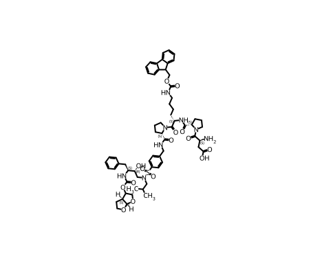 CC(C)CN(C[C@@H](O)[C@H](Cc1ccccc1)NC(=O)OC1CO[C@H]2OCC[C@@H]12)S(=O)(=O)c1ccc(CNC(=O)[C@@H]2CCCN2C(=O)[C@H](CCCCNC(=O)OCC2c3ccccc3-c3ccccc32)NC(=O)[C@@H]2CCCN2C(=O)[C@@H](N)CC(=O)O)cc1